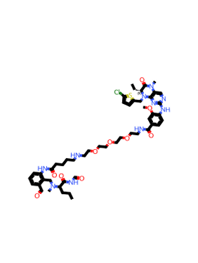 CCCC(C(=O)NC=O)N(C)Cc1c(C=O)cccc1NC(=O)CCCCNCCOCCOCCOCCNC(=O)c1ccc(Nc2ncc3c(n2)N(Cc2ccc(Cl)s2)[C@H](CC)C(=O)N3C)c(OC)c1